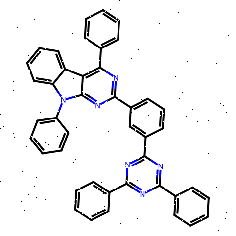 c1ccc(-c2nc(-c3ccccc3)nc(-c3cccc(-c4nc(-c5ccccc5)c5c6ccccc6n(-c6ccccc6)c5n4)c3)n2)cc1